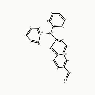 O=Cc1ccc2cc(N(c3ccccc3)c3ccccc3)ccc2c1